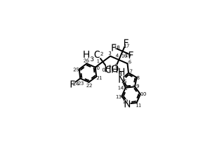 CC(C)(CC(O)(Cc1cc2ccncc2[nH]1)C(F)(F)F)c1ccc(F)cc1